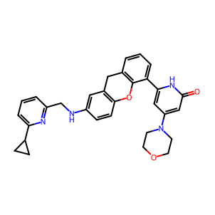 O=c1cc(N2CCOCC2)cc(-c2cccc3c2Oc2ccc(NCc4cccc(C5CC5)n4)cc2C3)[nH]1